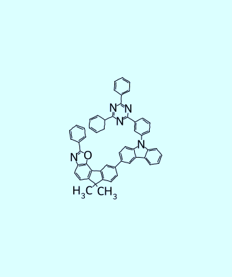 CC1(C)c2ccc(-c3ccc4c(c3)c3ccccc3n4-c3cccc(-c4nc(-c5ccccc5)nc(C5C=CC=CC5)n4)c3)cc2-c2c1ccc1nc(-c3ccccc3)oc21